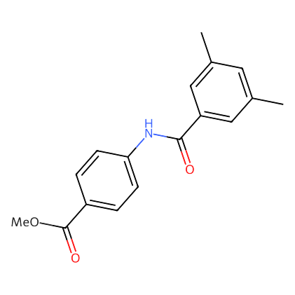 COC(=O)c1ccc(NC(=O)c2cc(C)cc(C)c2)cc1